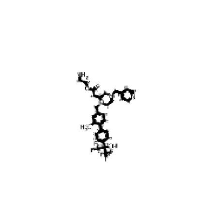 Cc1cc(CN2CCN(Cc3ccncc3)CC2CC(=O)OCCN)ccc1-c1ccc(C(O)(C(F)(F)F)C(F)(F)F)cc1